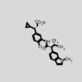 C[C@H]([C@H](C(=O)Nc1cc([C@@H](CC(=O)O)C2CC2)ccc1Cl)c1ccc2ccn(C)c2c1)C(F)(F)F